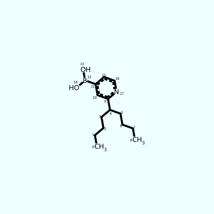 CCCCC(CCCC)c1cc(B(O)O)ccn1